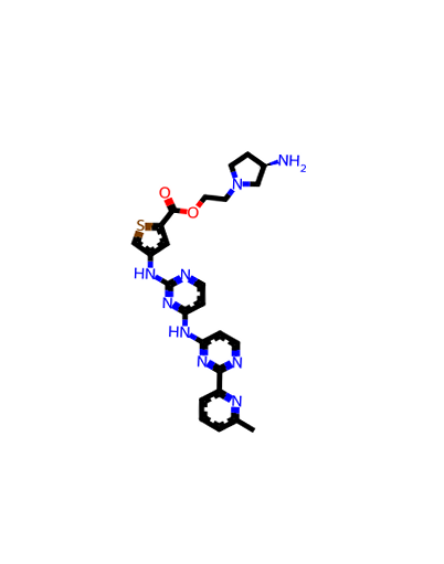 Cc1cccc(-c2nccc(Nc3ccnc(Nc4csc(C(=O)OCCN5CC[C@@H](N)C5)c4)n3)n2)n1